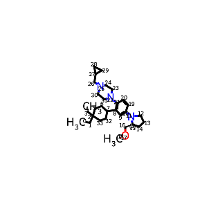 CCC1(CC)CCC(c2cc(N3CCC[C@H]3COC)ccc2N2CCN(CC3CC3)CC2)CC1